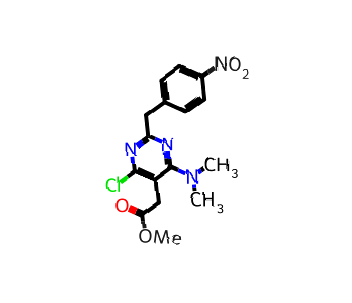 COC(=O)Cc1c(Cl)nc(Cc2ccc([N+](=O)[O-])cc2)nc1N(C)C